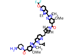 CCn1c(-c2nc3cc(C(=O)N4C[C@H]5CC6(Cc7ccc8cc(-c9nc%10cc(C(=O)N%11CCC[C@@H](N)C%11)cc(OC)c%10n9C)n(CC9CC9)c8n7)C[C@@H]4[C@@H]56)cc(OC)c3n2C)cc2ccc(OC(F)F)nc21